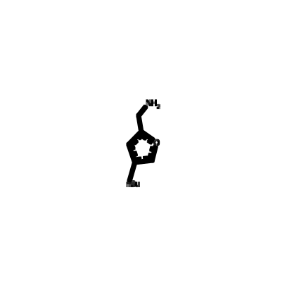 CCCCc1coc(CN)c1